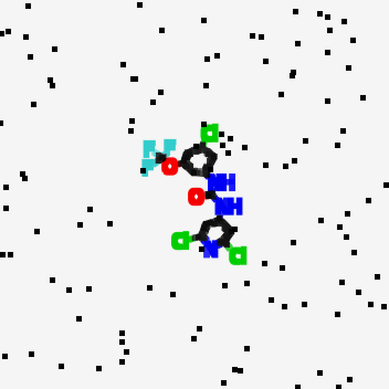 O=C(Nc1cc(Cl)cc(OC(F)(F)F)c1)Nc1cc(Cl)nc(Cl)c1